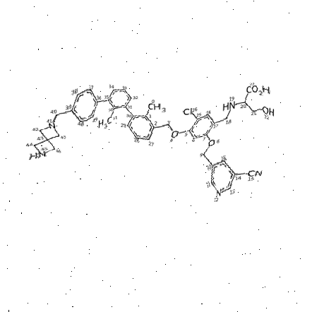 Cc1c(COc2cc(OCc3cncc(C#N)c3)c(CNC(CO)C(=O)O)cc2Cl)cccc1-c1cccc(-c2ccc(CN3CC4(CNC4)C3)cc2)c1C